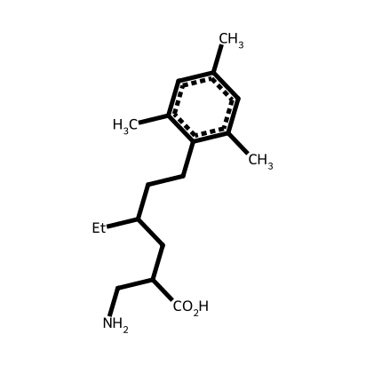 CCC(CCc1c(C)cc(C)cc1C)CC(CN)C(=O)O